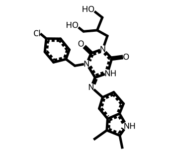 Cc1[nH]c2ccc(/N=c3\[nH]c(=O)n(CC(CO)CO)c(=O)n3Cc3ccc(Cl)cc3)cc2c1C